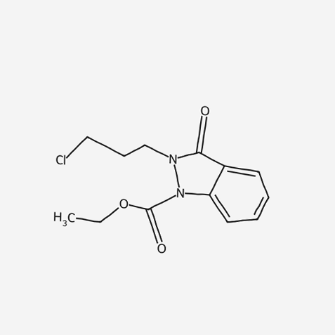 CCOC(=O)n1c2ccccc2c(=O)n1CCCCl